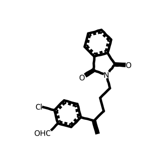 C=C(CCCN1C(=O)c2ccccc2C1=O)c1ccc(Cl)c(C=O)c1